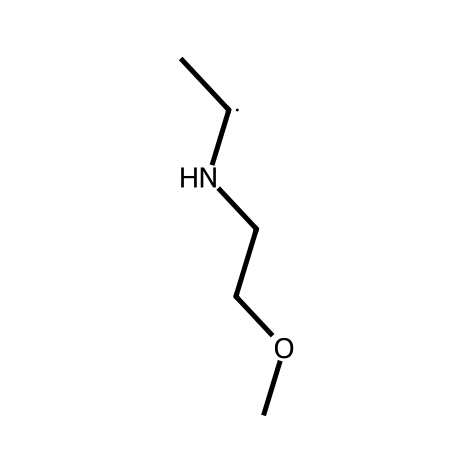 C[CH]NCCOC